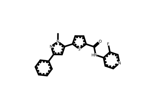 Cn1nc(-c2ccccc2)cc1-c1ccc(C(=O)Nc2ccncc2F)s1